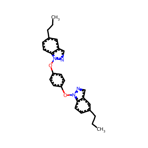 CCCc1ccc2c(cnn2Oc2ccc(On3ncc4cc(CCC)ccc43)cc2)c1